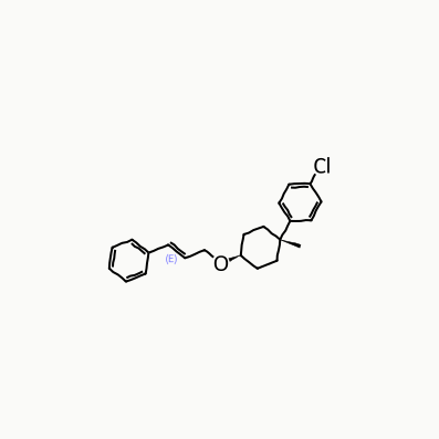 C[C@]1(c2ccc(Cl)cc2)CC[C@H](OC/C=C/c2ccccc2)CC1